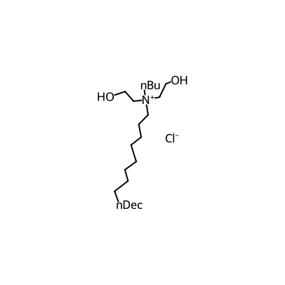 CCCCCCCCCCCCCCCCCC[N+](CCO)(CCO)CCCC.[Cl-]